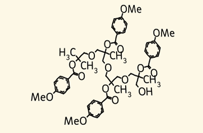 COc1ccc(C(=O)OC(C)(C)COCC(C)(COCC(C)(COCC(C)(CO)OC(=O)c2ccc(OC)cc2)OC(=O)c2ccc(OC)cc2)OC(=O)c2ccc(OC)cc2)cc1